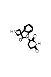 O=C1CCC(N2C(=O)C3(CNC3)c3ccccc32)C(=O)N1